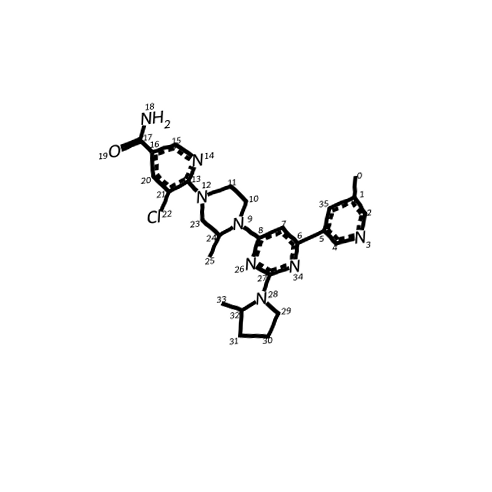 Cc1cncc(-c2cc(N3CCN(c4ncc(C(N)=O)cc4Cl)CC3C)nc(N3CCCC3C)n2)c1